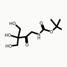 CC(C)(C)OC(=O)NCC(=O)C(O)(CO)CO